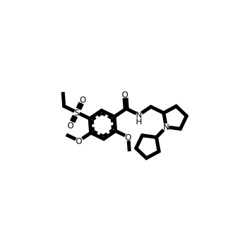 CCS(=O)(=O)c1cc(C(=O)NCC2CCCN2C2CCCC2)c(OC)cc1OC